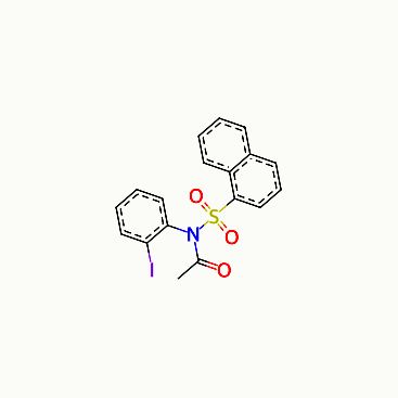 CC(=O)N(c1ccccc1I)S(=O)(=O)c1cccc2ccccc12